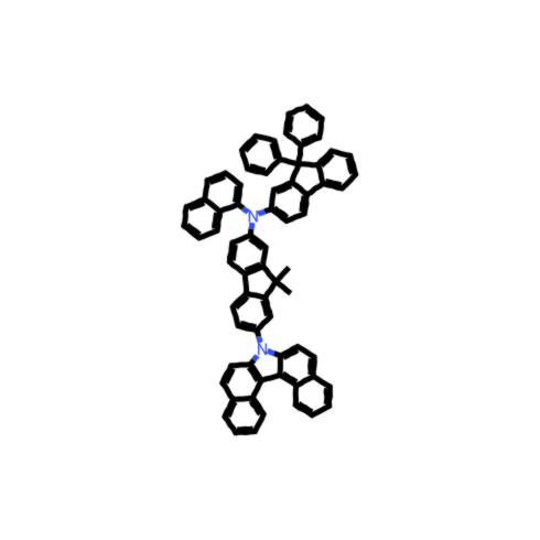 CC1(C)c2cc(N(c3ccc4c(c3)C(c3ccccc3)(c3ccccc3)c3ccccc3-4)c3cccc4ccccc34)ccc2-c2ccc(-n3c4ccc5ccccc5c4c4c5ccccc5ccc43)cc21